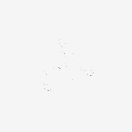 c1ccc(N(c2cc(-c3ccc(-c4ccc5oc6ccc7ccccc7c6c5c4)cc3)cc(N(c3ccccc3)c3ccc4sc5ccccc5c4c3)c2)c2ccc3sc4ccccc4c3c2)cc1